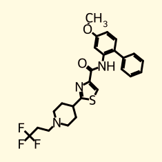 COc1ccc(-c2ccccc2)c(NC(=O)c2csc(C3CCN(CCC(F)(F)F)CC3)n2)c1